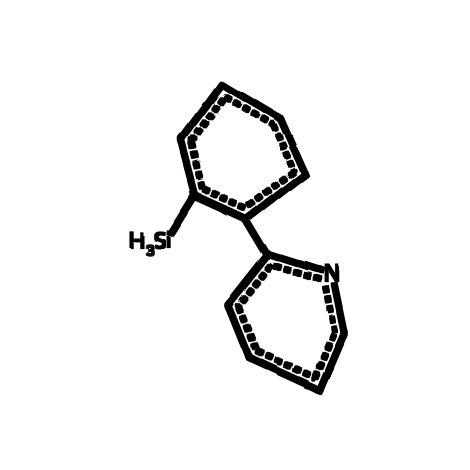 [SiH3]c1ccccc1-c1ccccn1